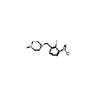 [CH2]N1CCN(Cc2cccc([N+](=O)[O-])c2F)CC1